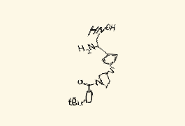 CC(C)(C)OC(=O)N1CCC(Sc2ccc(C(N)CNO)cc2)C1